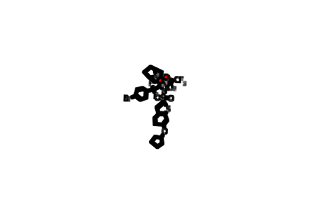 NC1CC2CCC(C1)N2C(=O)[C@@H](N(OC(=O)C(F)(F)F)S(=O)(=O)c1cc2ccc(OC3CCCC3)cc2s1)C(F)(F)c1ccc(Br)cc1